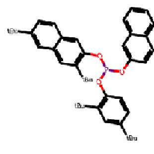 CC(C)(C)c1ccc(OP(Oc2ccc3ccccc3c2)Oc2cc3ccc(C(C)(C)C)cc3cc2C(C)(C)C)c(C(C)(C)C)c1